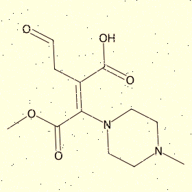 COC(=O)C(=C(CC=O)C(=O)O)N1CCN(C)CC1